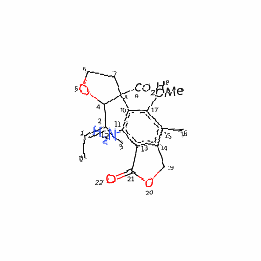 CC=C(C)C1OCCC1(C(=O)O)c1c(N)c2c(c(C)c1OC)COC2=O